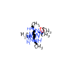 CCCNc1nc(N(C)OC)nc2c(NCCC)nc(NC)nc12